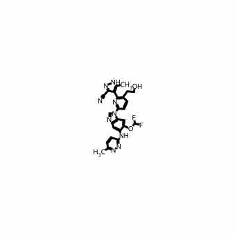 Cc1ccc(Nc2cc3ncn(-c4ccc(CCO)c(-c5c(C#N)n[nH]c5C)n4)c3cc2OC(F)F)nn1